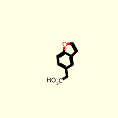 O=C(O)Cc1ccc2occc2c1